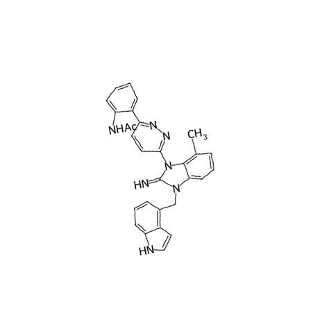 CC(=O)Nc1ccccc1-c1ccc(-n2c(=N)n(Cc3cccc4[nH]ccc34)c3cccc(C)c32)nn1